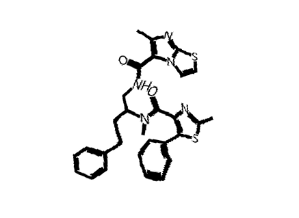 Cc1nc(C(=O)N(C)C(CCc2ccccc2)CNC(=O)c2c(C)nc3sccn23)c(-c2ccccc2)s1